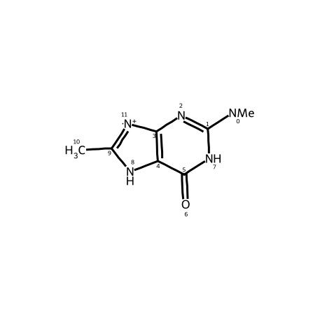 CNc1nc2c(c(=O)[nH]1)NC(C)=[N+]2